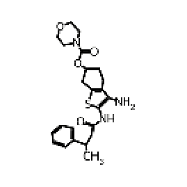 CC(CC(=O)Nc1sc2c(c1N)CCC(OC(=O)N1CCOCC1)C2)c1ccccc1